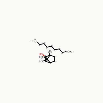 CC1(C)C2CCC1(C)C(O)C2.CCCCCCCCCCCCCCCCCC(=O)O